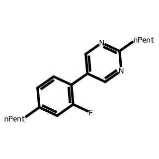 CCCCCc1ccc(-c2cnc(CCCCC)nc2)c(F)c1